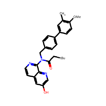 COc1ccc(-c2ccc(CN(C(=O)CC(C)(C)C)c3nccc4cc(O)cnc34)cc2)cc1C